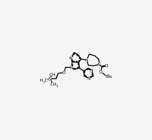 CC(C)(C)OC(=O)N1CCCN(c2ccnc3c2c(-c2cncnc2)cn3COCC[Si](C)(C)C)CC1